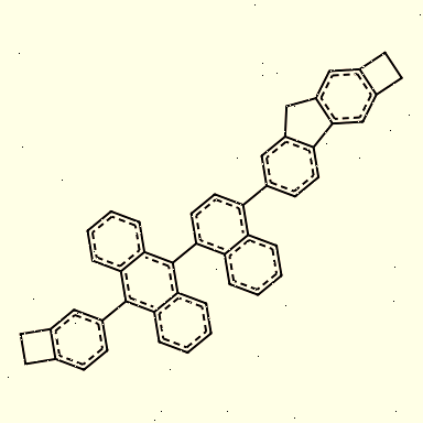 c1ccc2c(-c3c4ccccc4c(-c4ccc5c(c4)CC5)c4ccccc34)ccc(-c3ccc4c(c3)Cc3cc5c(cc3-4)CC5)c2c1